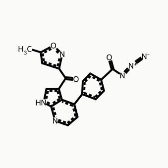 Cc1cc(C(=O)c2c[nH]c3nccc(-c4ccc(C(=O)N=[N+]=[N-])cc4)c23)no1